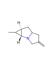 C=C1CC2C[C@@H]3C(C)[C@H]3N2C1